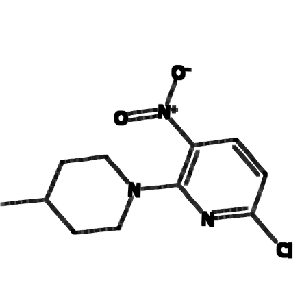 CC1CCN(c2nc(Cl)ccc2[N+](=O)[O-])CC1